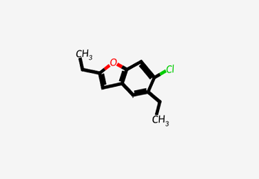 CCc1cc2[c]c(CC)c(Cl)cc2o1